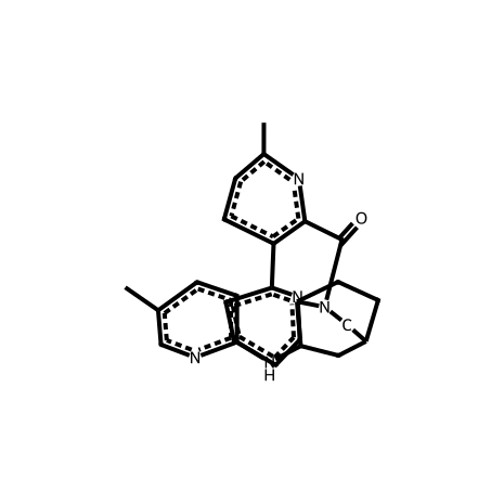 Cc1ccc(NC2CC3CCC2N(C(=O)c2nc(C)ccc2-c2ccccn2)C3)nc1